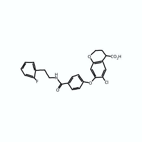 O=C(NCCc1ccccc1F)c1ccc(Oc2cc3c(cc2Cl)C(C(=O)O)CCO3)cc1